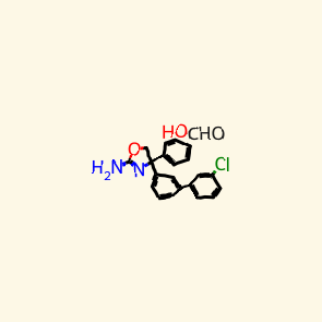 NC1=NC(c2ccccc2)(c2cccc(-c3cccc(Cl)c3)c2)CO1.O=CO